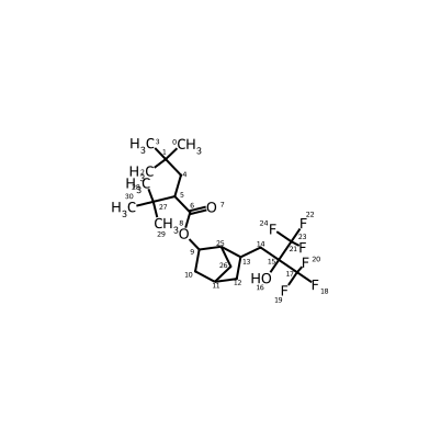 CC(C)(C)CC(C(=O)OC1CC2CC(CC(O)(C(F)(F)F)C(F)(F)F)C1C2)C(C)(C)C